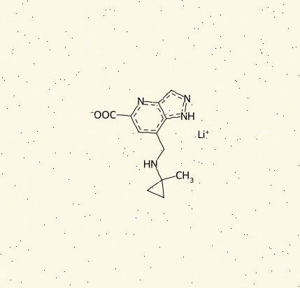 CC1(NCc2cc(C(=O)[O-])nc3cn[nH]c23)CC1.[Li+]